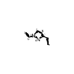 C=Cc1ccn(C=C)n1